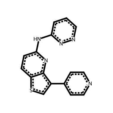 c1cnnc(Nc2ccc3scc(-c4ccncc4)c3n2)c1